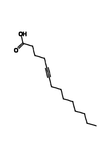 CCCCCCCCC#CCCCC(=O)O